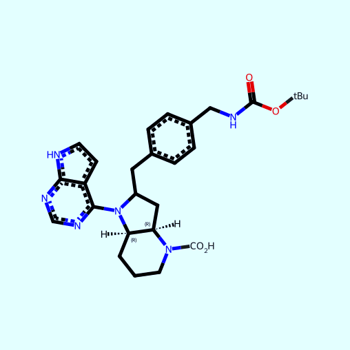 CC(C)(C)OC(=O)NCc1ccc(CC2C[C@@H]3[C@@H](CCCN3C(=O)O)N2c2ncnc3[nH]ccc23)cc1